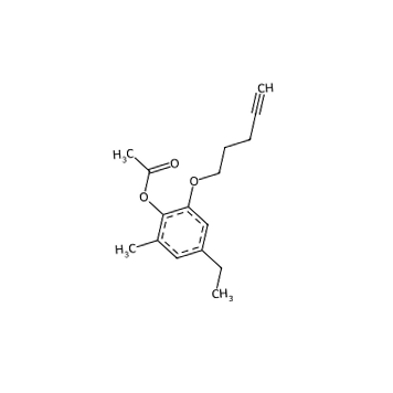 C#CCCCOc1cc(CC)cc(C)c1OC(C)=O